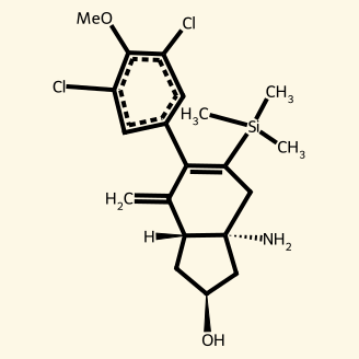 C=C1C(c2cc(Cl)c(OC)c(Cl)c2)=C([Si](C)(C)C)C[C@@]2(N)C[C@@H](O)C[C@H]12